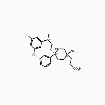 C[C@@H](OC[C@@]1(c2ccccc2)CC[C@](CCC(=O)O)([N+](=O)[O-])CN1)c1cc(C(F)(F)F)cc(C(F)(F)F)c1